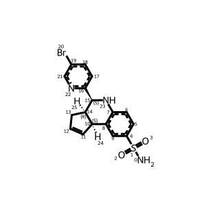 NS(=O)(=O)c1ccc2c(c1)[C@H]1C=CC[C@H]1[C@@H](c1ccc(Br)cn1)N2